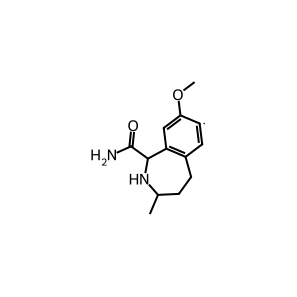 COc1[c]cc2c(c1)C(C(N)=O)NC(C)CC2